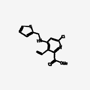 C=Cc1c(NCc2cccs2)cc(Cl)nc1C(=O)OC